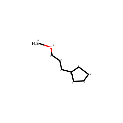 [SiH3]OCCCC1CCCC1